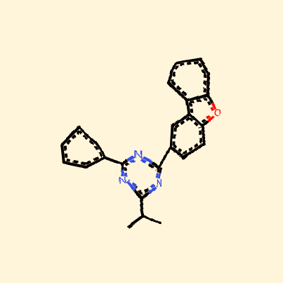 CC(C)c1nc(-c2ccccc2)nc(-c2ccc3oc4ccccc4c3c2)n1